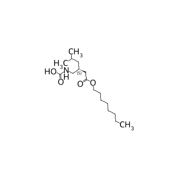 CCCCCCCCOC(=O)C[C@@H](CNC(=O)O)CC(C)C